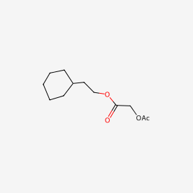 CC(=O)OCC(=O)OCCC1CCCCC1